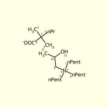 CCCC(C)(C)C(=O)[O-].CCCCC[N+](CCCCC)(CCCCC)CC(C)O